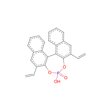 C=Cc1cc2ccccc2c2c1OP(=O)(O)Oc1c(C=C)cc3ccccc3c1-2